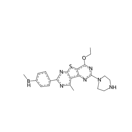 CBc1ccc(-c2nc(C)c3c(n2)sc2c(OCC)nc(N4CCNCC4)nc23)cc1